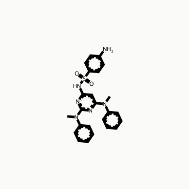 CN(c1ccccc1)c1cc(NS(=O)(=O)c2ccc(N)cc2)nc(N(C)c2ccccc2)n1